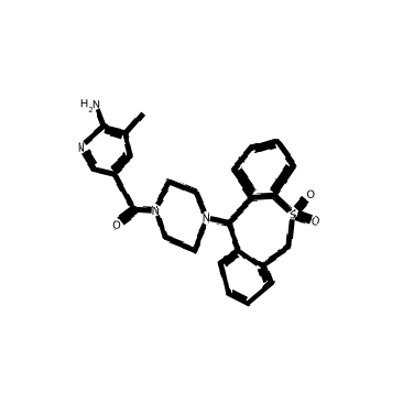 Cc1cc(C(=O)N2CCN(C3c4ccccc4CS(=O)(=O)c4ccccc43)CC2)cnc1N